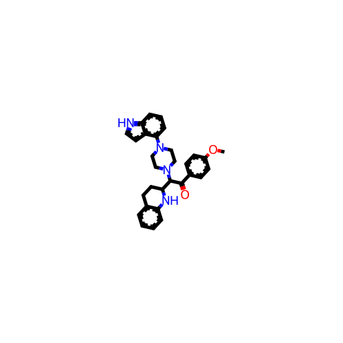 COc1ccc(C(=O)C(C2CCc3ccccc3N2)N2CCN(c3cccc4[nH]ccc34)CC2)cc1